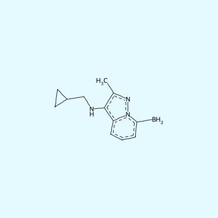 Bc1cccc2c(NCC3CC3)c(C)nn12